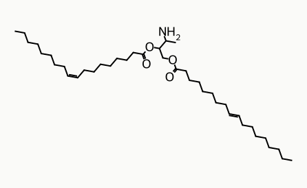 CCCCCCCCC=CCCCCCCCC(=O)OCC(OC(=O)CCCCCCC/C=C\CCCCCCCC)C(C)N